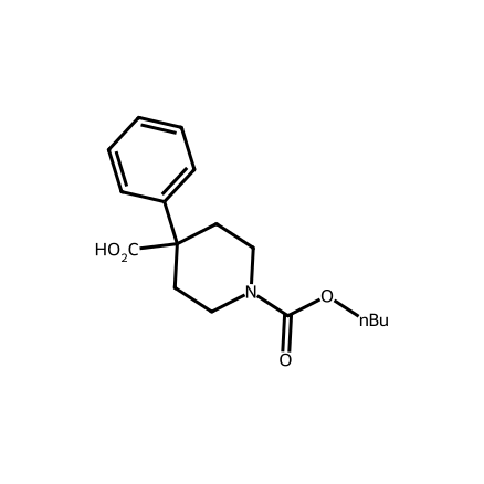 CCCCOC(=O)N1CCC(C(=O)O)(c2ccccc2)CC1